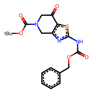 CC(C)(C)OC(=O)N1CC(=O)c2sc(NC(=O)OCc3ccccc3)nc2C1